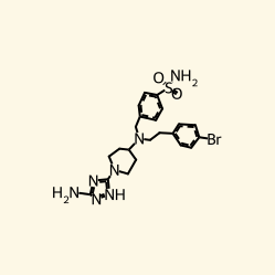 Nc1n[nH]c(N2CCC(N(CCc3ccc(Br)cc3)Cc3ccc(S(N)(=O)=O)cc3)CC2)n1